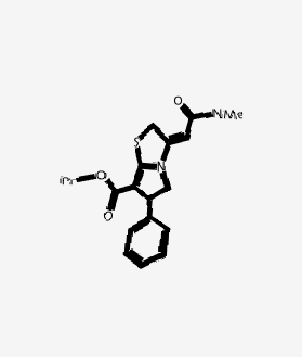 CNC(=O)/C=C1\CSC2=C(C(=O)OC(C)C)C(c3ccccc3)CN21